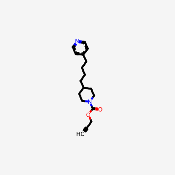 C#CCOC(=O)N1CCC(CCCCc2ccncc2)CC1